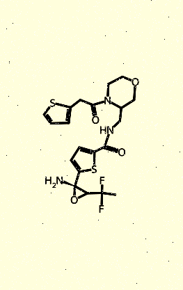 CC(F)(F)C1O[C@]1(N)c1ccc(C(=O)NCC2COCCN2C(=O)Cc2cccs2)s1